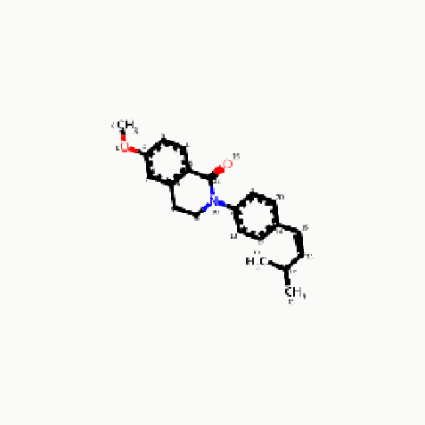 COc1ccc2c(c1)CCN(c1ccc(/C=C\C(C)C)cc1)C2=O